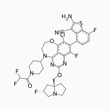 N#Cc1c(N)sc2c(F)ccc(-c3c(Cl)c4c5c(nc(OC[C@@]67CCCN6C[C@H](F)C7)nc5c3F)N(C3CCN(C(=O)C(F)F)CC3)CCO4)c12